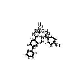 CCc1ccc(C(=O)NN2C(c3ccc(-c4ccccc4)cc3)=NOC2(C)C)cc1